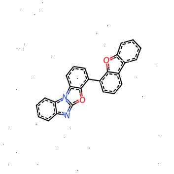 c1ccc2c(c1)nc1oc3c(-c4cccc5c4oc4ccccc45)cccc3n12